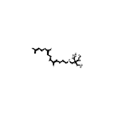 CC(C)=CCCC(C)=CCCC(C)=CCCCOCC(CO)(CO)CO